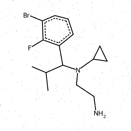 CC(C)C(c1cccc(Br)c1F)N(CCN)C1CC1